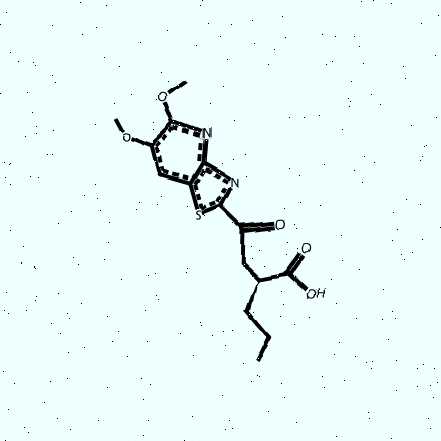 CCC[C@@H](CC(=O)c1nc2nc(OC)c(OC)cc2s1)C(=O)O